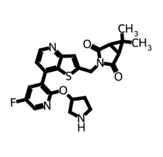 CC1(C)C2C(=O)N(Cc3cc4nccc(-c5cc(F)cnc5OC5CCNC5)c4s3)C(=O)C21